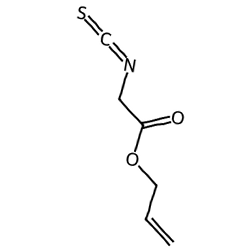 C=CCOC(=O)CN=C=S